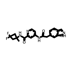 CC1(NC(=O)c2cc(NC(=O)Cc3ccc4cn[nH]c4c3)ccn2)CC(F)(F)C1